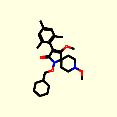 COC1=C(c2c(C)cc(C)cc2C)C(=O)N(OCC2CCCCC2)C12CCN(OC)CC2